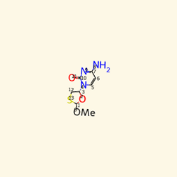 CO[C@@H]1O[C@@H](n2ccc(N)nc2=O)CS1